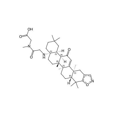 CN(CC(=O)O)C(=O)CN[C@]12CCC(C)(C)C[C@H]1[C@H]1C(=O)C=C3[C@@]4(C)Cc5cnoc5C(C)(C)[C@@H]4CC[C@@]3(C)[C@]1(C)CC2